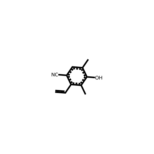 C=Cc1c(C#N)cc(C)c(O)c1C